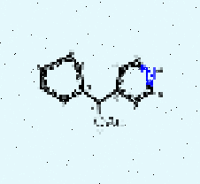 CC(=O)OC(c1ccccc1)c1ccncc1